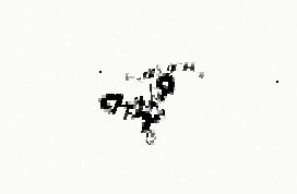 COc1ccc(CNc2ncc(C=O)c3nc(-c4ccccn4)nn23)cc1OC